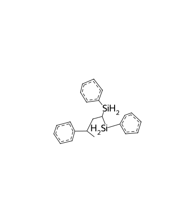 CC(CC([SiH2]c1ccccc1)[SiH2]c1ccccc1)c1ccccc1